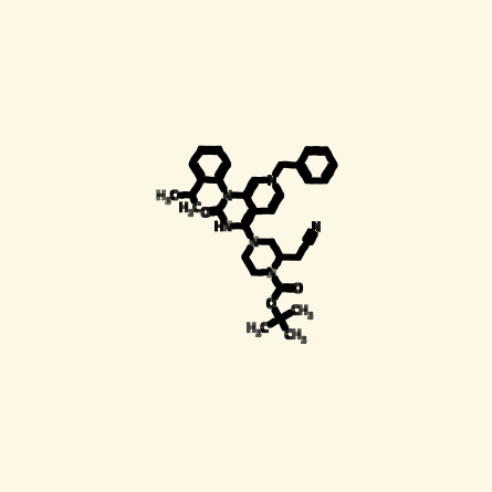 CC(C)c1ccccc1N1C(=O)NC(N2CCN(C(=O)OC(C)(C)C)C(CC#N)C2)=C2C=CN(Cc3ccccc3)C=C21